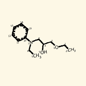 CCOCC(O)CN(CC)c1ccccc1